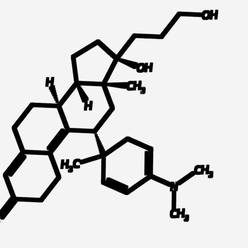 CN(C)C1=CCC(C)([C@H]2C[C@]3(C)[C@@H](CC[C@]3(O)CCCO)[C@@H]3CCC4=CC(=O)CCC4=C32)C=C1